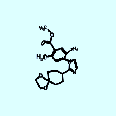 COC(=O)c1cc(N)c(-n2ccnc2C2CCC3(CC2)OCCO3)cc1C